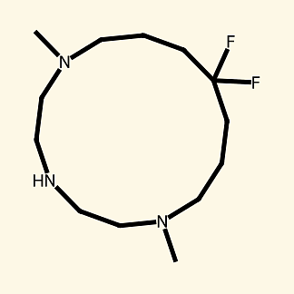 CN1CCCC(F)(F)CCCN(C)CCNCC1